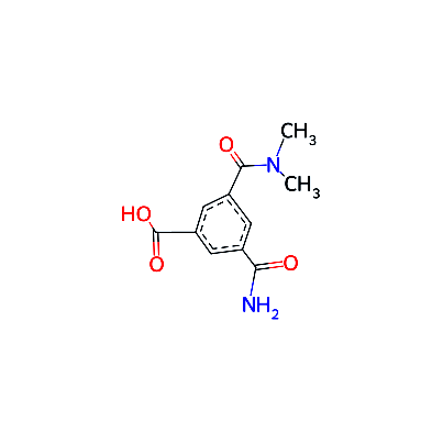 CN(C)C(=O)c1cc(C(N)=O)cc(C(=O)O)c1